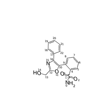 NS(=O)(=O)c1ccccc1-c1oc(CO)nc1-c1ccccc1